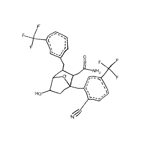 N#Cc1ccc(C(F)(F)F)cc1C12CC(O)C(O1)C(c1cccc(C(F)(F)F)c1)C2C(N)=O